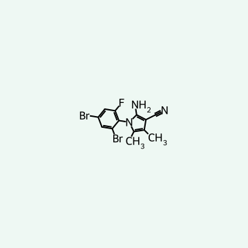 Cc1c(C#N)c(N)n(-c2c(F)cc(Br)cc2Br)c1C